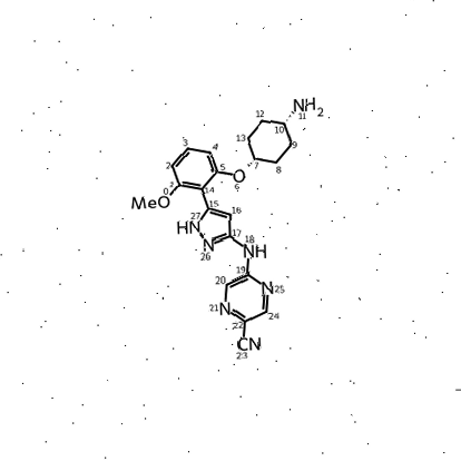 COc1cccc(O[C@H]2CC[C@@H](N)CC2)c1-c1cc(Nc2cnc(C#N)cn2)n[nH]1